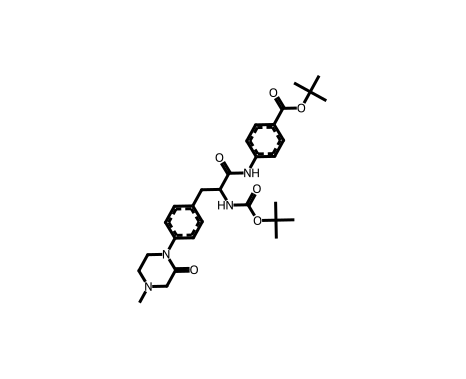 CN1CCN(c2ccc(CC(NC(=O)OC(C)(C)C)C(=O)Nc3ccc(C(=O)OC(C)(C)C)cc3)cc2)C(=O)C1